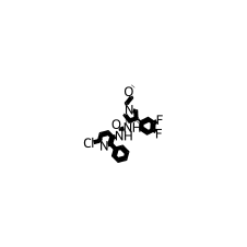 COCCN1C[C@@H](NC(=O)Nc2ccc(Cl)nc2-c2ccccc2)[C@H](c2ccc(F)c(F)c2)C1